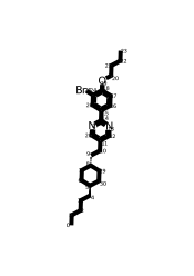 CCCCC[C@H]1CC[C@H](CCc2cnc(-c3ccc(OCCCC)c(Br)c3)nc2)CC1